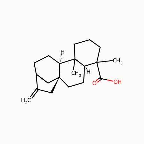 C=C1C[C@]23CC[C@@H]4C(C)(C(=O)O)CCCC4(C)[C@@H]2CCC1C3